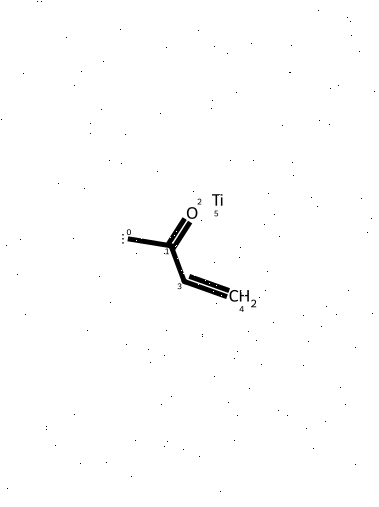 [C]C(=O)C=C.[Ti]